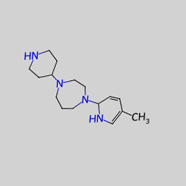 CC1=CNC(N2CCCN(C3CCNCC3)CC2)C=C1